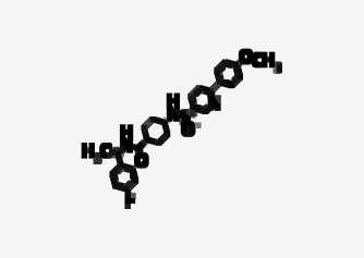 COc1ccc(-c2ccc([S+]([O-])N[C@H]3CC[C@H](C(=O)N[C@H](C)c4ccc(F)cc4)CC3)cn2)cc1